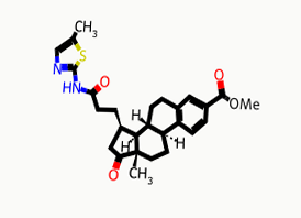 COC(=O)c1ccc2c(c1)CC[C@H]1[C@@H]3[C@H](CCC(=O)Nc4ncc(C)s4)CC(=O)[C@@]3(C)CC[C@H]21